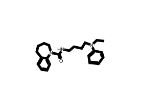 CCN(CCCCNC(=O)N1CCCCc2ccccc21)c1ccccc1